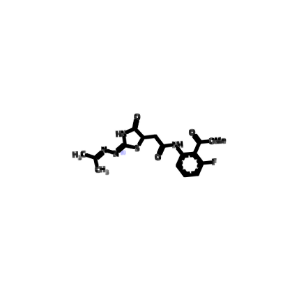 COC(=O)c1c(F)cccc1NC(=O)CC1S/C(=N/N=C(C)C)NC1=O